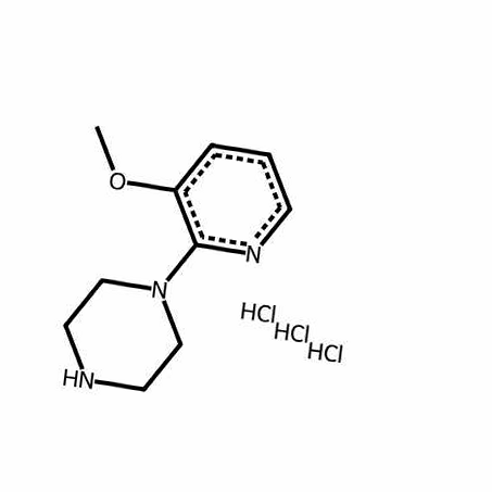 COc1cccnc1N1CCNCC1.Cl.Cl.Cl